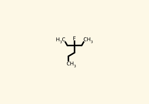 CCCC(F)(CC)CC